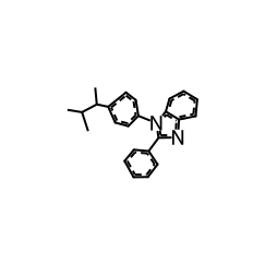 CC(C)C(C)c1ccc(-n2c(-c3ccccc3)nc3ccccc32)cc1